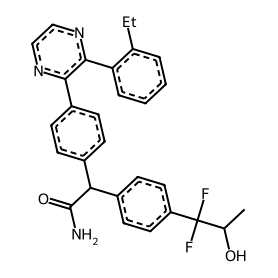 CCc1ccccc1-c1nccnc1-c1ccc(C(C(N)=O)c2ccc(C(F)(F)C(C)O)cc2)cc1